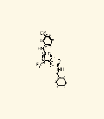 O=C(NCC1CCCCC1)Oc1cnc(Nc2cccc(Cl)c2)nc1C(F)(F)F